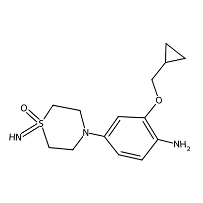 N=S1(=O)CCN(c2ccc(N)c(OCC3CC3)c2)CC1